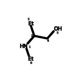 CCNC(CC)CO